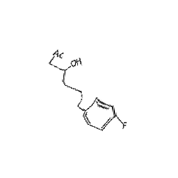 CC(=O)CC(O)CCCc1ccc(F)cc1